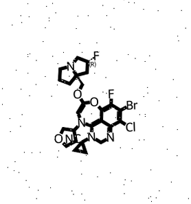 N#CC1(N2CN=c3c(Cl)c(Br)c(F)c4c3=C2N(C2CCOC2)C=C(OC[C@@]23CCCN2C[C@H](F)C3)O4)CC1